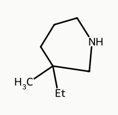 CCC1(C)CCCNC1